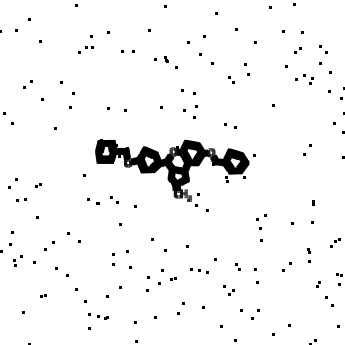 C=C1CC2c3cc(OCc4ccccc4)ccc3OC(c3ccc(OCc4ccccc4)cc3)C2C1